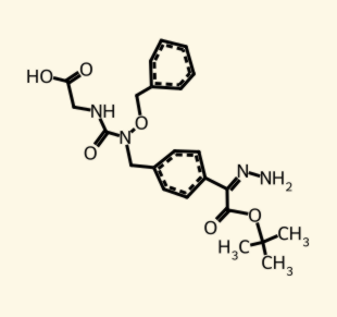 CC(C)(C)OC(=O)C(=NN)c1ccc(CN(OCc2ccccc2)C(=O)NCC(=O)O)cc1